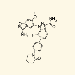 COc1cc2onc(N)c2cc1-n1nc(C(N)=O)c2ccc(-c3ccc(N4CCCCC4=O)cc3)c(F)c21